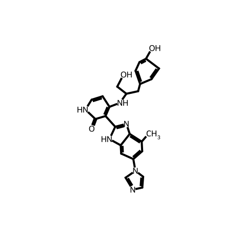 Cc1cc(-n2ccnc2)cc2[nH]c(-c3c(NC(CO)Cc4ccc(O)cc4)cc[nH]c3=O)nc12